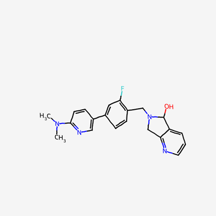 CN(C)c1ccc(-c2ccc(CN3Cc4ncccc4C3O)c(F)c2)cn1